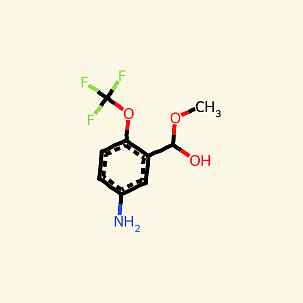 COC(O)c1cc(N)ccc1OC(F)(F)F